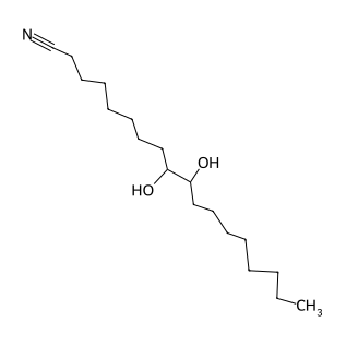 CCCCCCCCC(O)C(O)CCCCCCCC#N